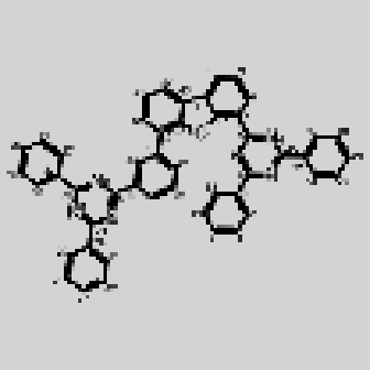 c1ccc(-c2cc(-c3cccc4c3oc3c(-c5cccc(-c6nc(-c7ccccc7)nc(-c7ccccc7)n6)c5)cccc34)nc(-c3ccccc3)n2)cc1